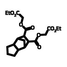 CCOC(=O)COC(=O)C1C2CC(C3CCCC32)C1C(=O)OCC(=O)OCC